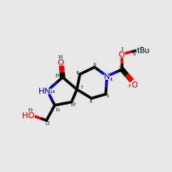 CC(C)(C)OC(=O)N1CCC2(CC1)CC(CO)NC2=O